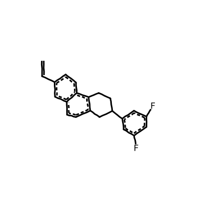 C=Cc1ccc2c3c(ccc2c1)CC(c1cc(F)cc(F)c1)CC3